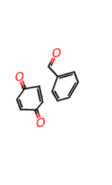 O=C1C=CC(=O)C=C1.O=Cc1ccccc1